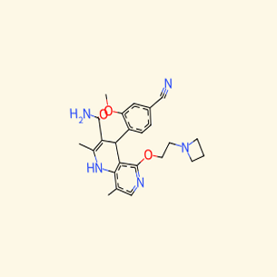 COc1cc(C#N)ccc1C1C(C(N)=O)=C(C)Nc2c(C)cnc(OCCN3CCC3)c21